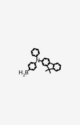 Bc1ccc(N(c2ccccc2)c2ccc3c(c2)C(C)(C)c2ccccc2-3)cc1